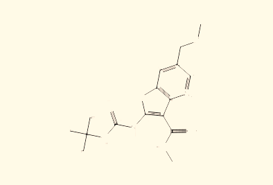 COCc1cnc2c(C(=O)OC)c(NC(=O)OC(C)(C)C)sc2c1